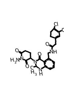 CC1Nc2cccc(CNC(=O)CC3=CC(Cl)=C(Cl)CC3)c2C(=O)N1C1CCC(=O)N(N)C1=O